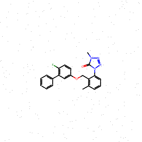 Cc1cccc(-n2nnn(C)c2=O)c1COc1ccc(F)c(-c2ccccc2)c1